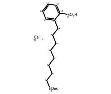 CCCCCCCCCCCCCCCCCCc1ccccc1S(=O)(=O)O.[CaH2]